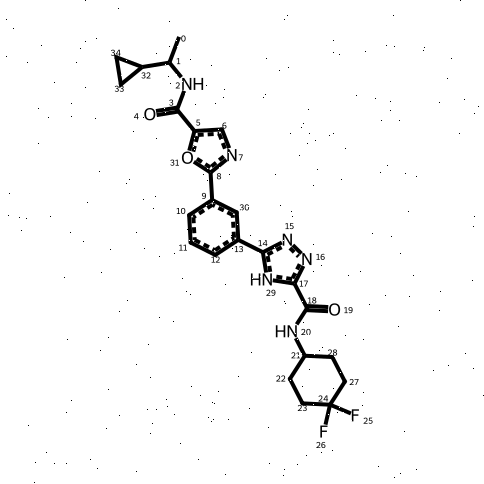 CC(NC(=O)c1cnc(-c2cccc(-c3nnc(C(=O)NC4CCC(F)(F)CC4)[nH]3)c2)o1)C1CC1